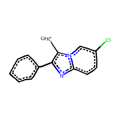 O=Cc1c(-c2ccccc2)nc2ccc(Cl)cn12